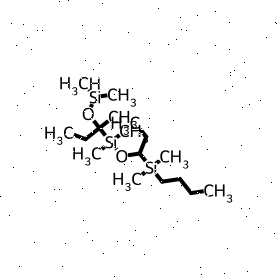 CCCC[Si](C)(C)C(CC)O[Si](C)(C)C(C)(CC)O[SiH](C)C